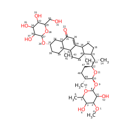 COC1C(O)C(C)OC(O[C@@H]2O[C@H]([C@@H](C)C3CCC4C5=CC(=O)C6C[C@@H](OC7OC(CO)C(O)C(O)C7O)CC[C@]6(C)C5CC[C@@]43C)CC[C@H]2C)C1O